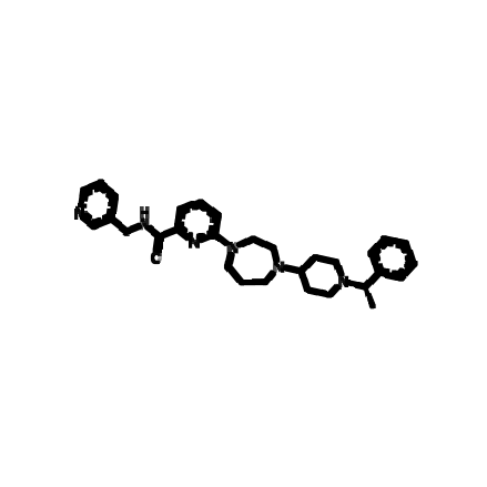 C[C@H](c1ccccc1)N1CCC(N2CCCN(c3cccc(C(=O)NCc4cccnc4)n3)CC2)CC1